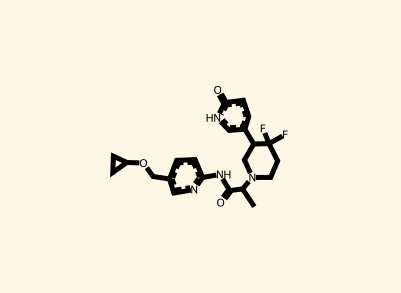 CC(C(=O)Nc1ccc(COC2CC2)cn1)N1CCC(F)(F)C(c2ccc(=O)[nH]c2)C1